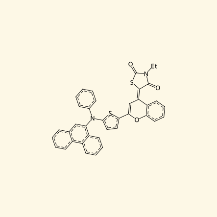 CCN1C(=O)S/C(=C2\C=C(c3ccc(N(c4ccccc4)c4cc5ccccc5c5ccccc45)s3)Oc3ccccc32)C1=O